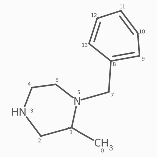 C[C]1CNCCN1Cc1ccccc1